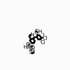 COc1cc(Cl)c(Cl)cc1-c1nccc2cc(S(=O)(=O)Nc3nccs3)ccc12